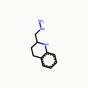 NNCC1CCc2ccccc2N1